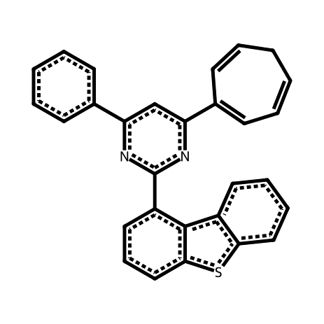 C1=CCC=CC(c2cc(-c3ccccc3)nc(-c3cccc4sc5ccccc5c34)n2)=C1